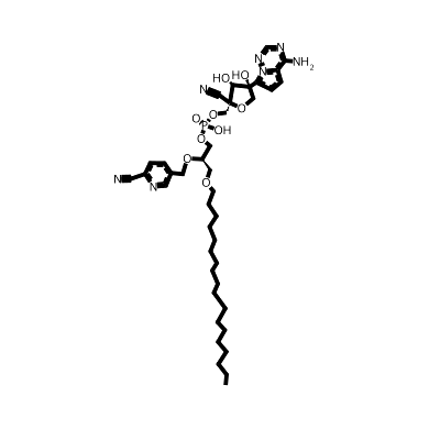 CCCCCCCCCCCCCCCCCCOC[C@H](COP(=O)(O)OC[C@@]1(C#N)OC[C@@](O)(c2ccc3c(N)ncnn23)[C@@H]1O)OCc1ccc(C#N)nc1